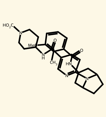 COc1cccc(C(=O)NC2CC3CCC(C2)N3c2ccc(C(=O)NC3CCN(C(=O)O)CC3)cn2)c1C